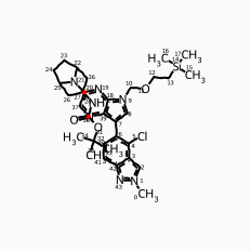 Cn1cc2c(Cl)c(-c3cn(COCC[Si](C)(C)C)c4nc(N5C6CCC5CC(NC(=O)OC(C)(C)C)C6)cnc34)ccc2n1